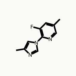 Cc1cnc(-n2cnc(C)c2)c(F)c1